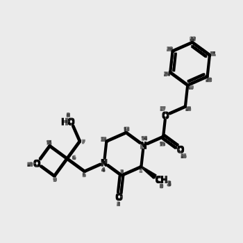 C[C@H]1C(=O)N(CC2(CO)COC2)CCN1C(=O)OCc1ccccc1